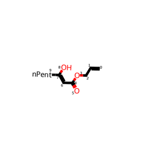 C=CCOC(=O)C=C(O)CCCCC